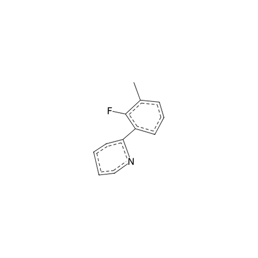 Cc1cccc(-c2ccccn2)c1F